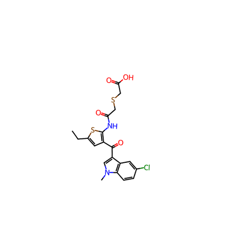 CCc1cc(C(=O)c2cn(C)c3ccc(Cl)cc23)c(NC(=O)CSCC(=O)O)s1